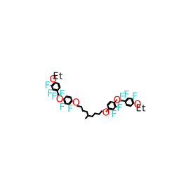 CCOc1ccc(C(F)(F)Oc2ccc(OCCCCC(C)CCCCOc3ccc(OC(F)(F)c4ccc(OCC)c(F)c4F)c(F)c3F)c(F)c2F)c(F)c1F